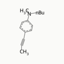 CC#Cc1ccc(N(C)CCCC)cc1